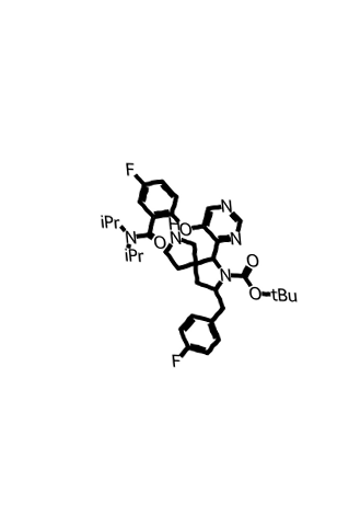 CC(C)N(C(=O)c1cc(F)ccc1Oc1cncnc1C1N(C(=O)OC(C)(C)C)C(Cc2ccc(F)cc2)CC12CCNC2)C(C)C